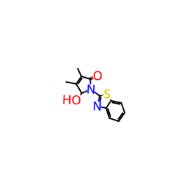 CC1=C(C)C(O)N(c2nc3ccccc3s2)C1=O